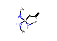 C=CC[Si](NCCC)(NCCC)NCCC